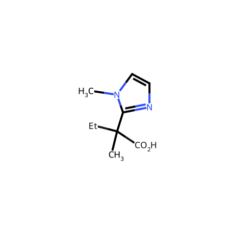 CCC(C)(C(=O)O)c1nccn1C